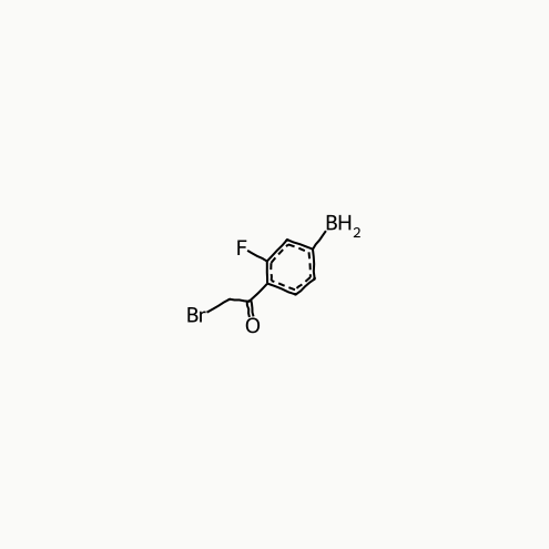 Bc1ccc(C(=O)CBr)c(F)c1